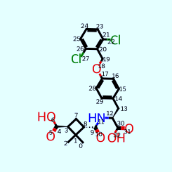 CC1(C)[C@@H](C(=O)O)C[C@@H]1C(=O)N[C@@H](Cc1ccc(OCc2c(Cl)cccc2Cl)cc1)C(=O)O